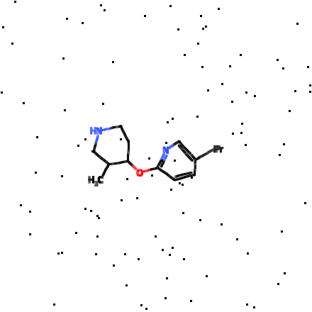 CC(C)c1ccc(OC2CCNCC2C)nc1